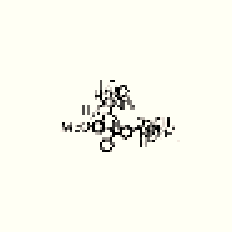 COc1ccc2c(c1)[C@H](C)C(C(=O)N[C@@H]1C3CCC(C)([C@@H]1O)C3(C)C)Cn1c-2c(C2CCCCC2)c2ccc(C(=O)NS(=O)(=O)N(C)C)cc21